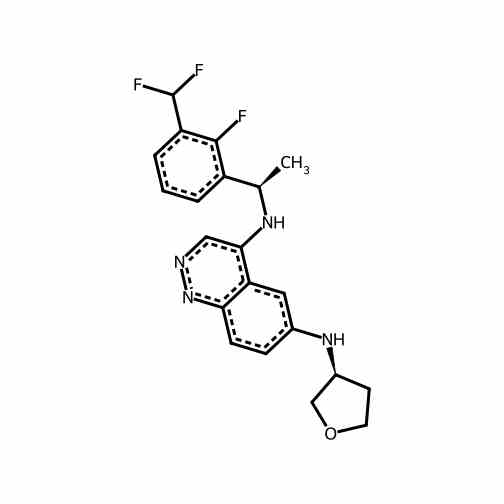 C[C@@H](Nc1cnnc2ccc(N[C@H]3CCOC3)cc12)c1cccc(C(F)F)c1F